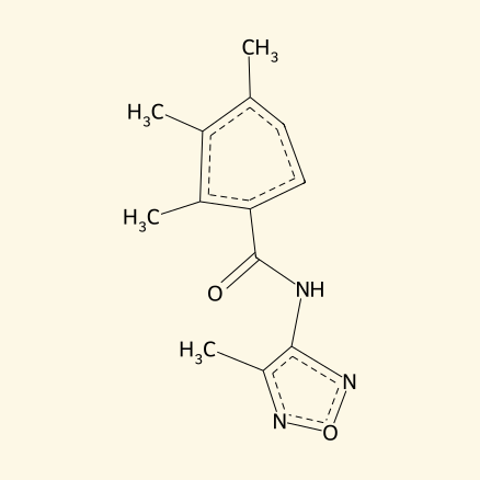 Cc1ccc(C(=O)Nc2nonc2C)c(C)c1C